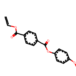 C=COC(=O)c1ccc(C(=O)Oc2ccc(OC)cc2)cc1